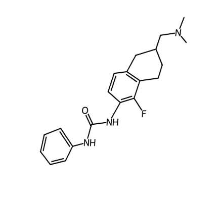 CN(C)CC1CCc2c(ccc(NC(=O)Nc3ccccc3)c2F)C1